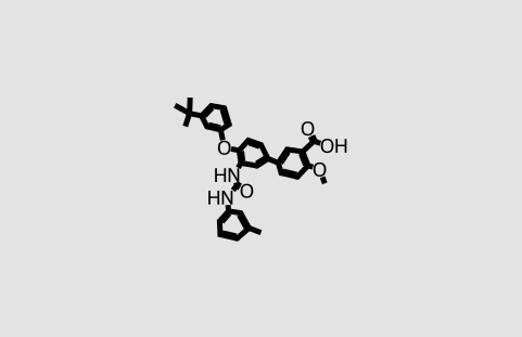 COc1ccc(-c2ccc(Oc3cccc(C(C)(C)C)c3)c(NC(=O)Nc3cccc(C)c3)c2)cc1C(=O)O